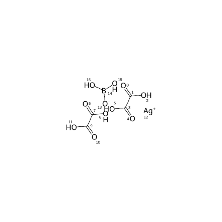 O=C(O)C(=O)O.O=C(O)C(=O)O.[Ag+].[O-]B(O)O